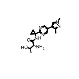 Cc1nn(C)cc1-c1cnc(C2(NC(=O)[C@@H](N)[C@@H](C)O)CC2)nc1